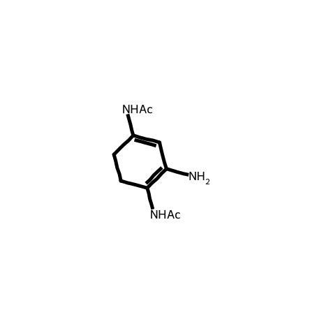 CC(=O)NC1=CC(N)=C(NC(C)=O)CC1